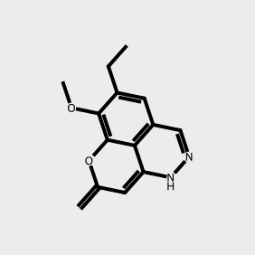 C=c1cc2[nH]ncc3cc(CC)c(OC)c(o1)c3-2